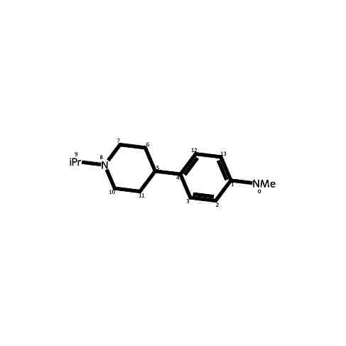 CNc1ccc(C2CCN(C(C)C)CC2)cc1